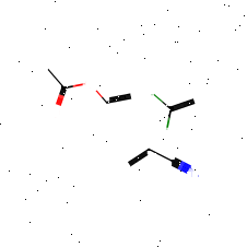 C=C(Cl)Cl.C=CC#N.C=COC(C)=O